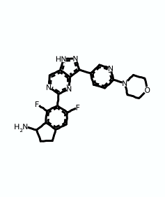 NC1CCc2cc(F)c(-c3ncc4[nH]nc(-c5ccc(N6CCOCC6)nc5)c4n3)c(F)c21